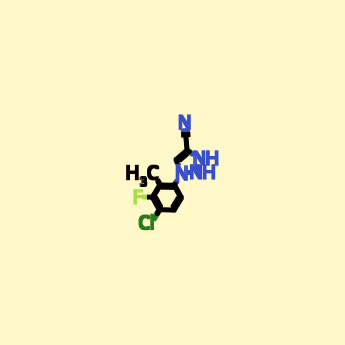 Cc1c(N2C=C(C#N)NN2)ccc(Cl)c1F